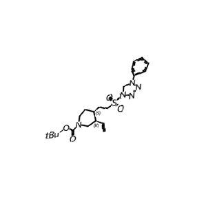 C=C[C@H]1CN(C(=O)OC(C)(C)C)CC[C@H]1CCS(=O)(=O)N1CN(c2ccccc2)N=N1